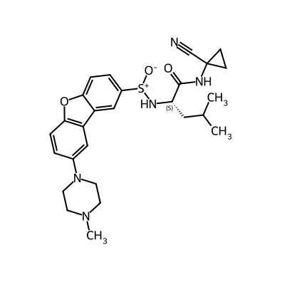 CC(C)C[C@H](N[S+]([O-])c1ccc2oc3ccc(N4CCN(C)CC4)cc3c2c1)C(=O)NC1(C#N)CC1